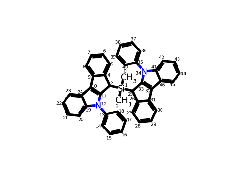 C[Si](C)(C1c2ccccc2-c2c1n(-c1ccccc1)c1ccccc21)C1c2ccccc2-c2c1n(-c1ccccc1)c1ccccc21